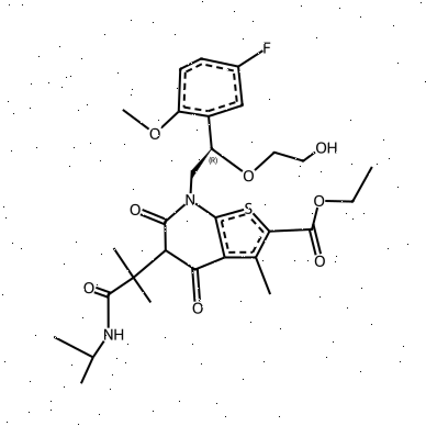 CCOC(=O)c1sc2c(c1C)C(=O)C(C(C)(C)C(=O)NC(C)C)C(=O)N2C[C@H](OCCO)c1cc(F)ccc1OC